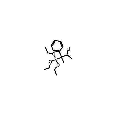 CCO[Si](OCC)(OCC)C(C)(c1ccccc1)C(C)Cl